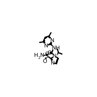 Cc1cc(C)nc(NC(=O)[N+]2(C(C)C)C=CN=C2S(N)(=O)=O)n1